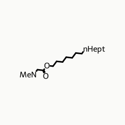 CCCCCCCCCCCCCCOC(=O)CNC